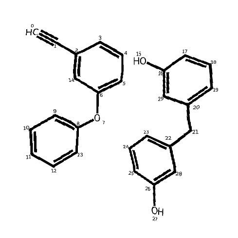 C#Cc1cccc(Oc2ccccc2)c1.Oc1cccc(Cc2cccc(O)c2)c1